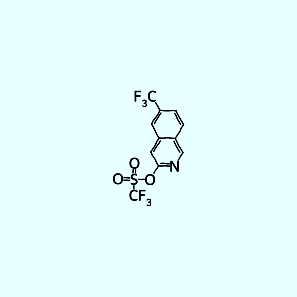 O=S(=O)(Oc1cc2cc(C(F)(F)F)ccc2cn1)C(F)(F)F